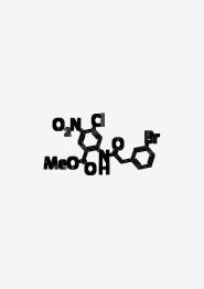 COC(=O)c1cc([N+](=O)[O-])c(Cl)cc1NC(=O)Cc1cccc(Br)c1